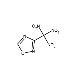 O=[N+]([O-])C(c1ncon1)([N+](=O)[O-])[N+](=O)[O-]